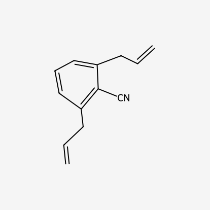 C=CCc1cccc(CC=C)c1C#N